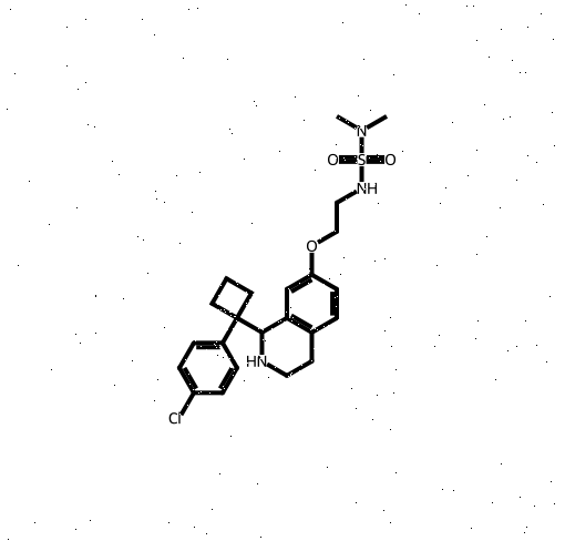 CN(C)S(=O)(=O)NCCOc1ccc2c(c1)C(C1(c3ccc(Cl)cc3)CCC1)NCC2